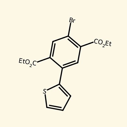 CCOC(=O)c1cc(-c2cccs2)c(C(=O)OCC)cc1Br